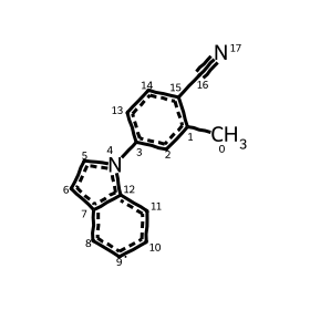 Cc1cc(-n2ccc3c[c]ccc32)ccc1C#N